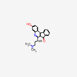 CN(C)CC[AsH]c1nc2cc(O)ccc2c2c1C(=O)c1ccccc1-2